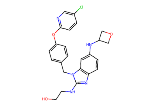 OCCNc1nc2ccc(NC3COC3)cc2n1Cc1ccc(Oc2ccc(Cl)cn2)cc1